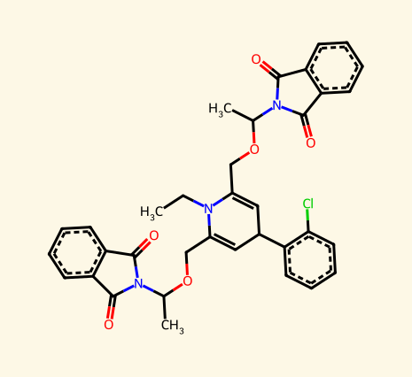 CCN1C(COC(C)N2C(=O)c3ccccc3C2=O)=CC(c2ccccc2Cl)C=C1COC(C)N1C(=O)c2ccccc2C1=O